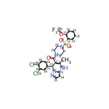 CC1=C(C(=O)N2CCN(S(=O)(=O)c3ccccc3OC(F)(F)F)CC2)C(c2ccc(Cl)c(Cl)c2)n2nccc2N1